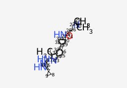 Cc1c(Nc2cc(C3CC3)[nH]n2)ncc2ccc(-c3ccc(NC(=O)C=CCN(C)C)cc3)cc12